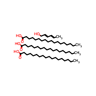 CC=CC=CCO.CCCCCCCCCCCCCCCCCC(=O)O.CCCCCCCCCCCCCCCCCC(=O)O.CCCCCCCCCCCCCCCCCC(=O)O